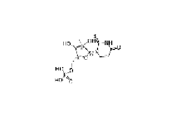 C[C@@]1(O)C(O)[C@@H](COP(=O)(O)O)O[C@H]1n1ccc(=O)[nH]c1=S